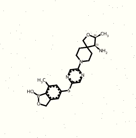 Cc1cc(Sc2cnc(N3CCC4(CC3)CO[C@@H](C)[C@H]4N)cn2)cc2c1B(O)OC2